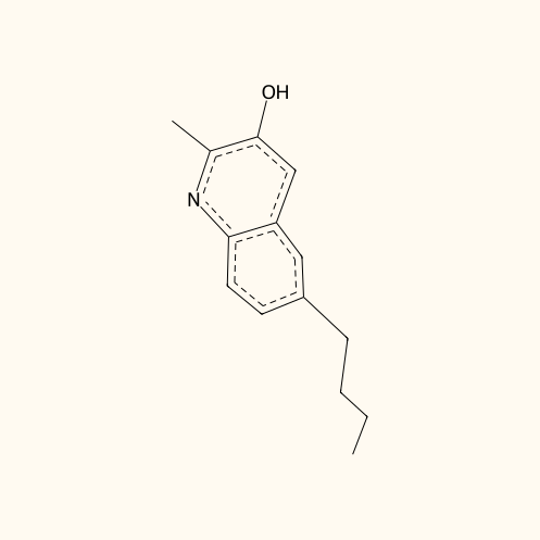 CCCCc1ccc2nc(C)c(O)cc2c1